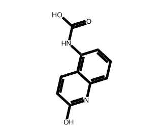 O=C(O)Nc1cccc2nc(O)ccc12